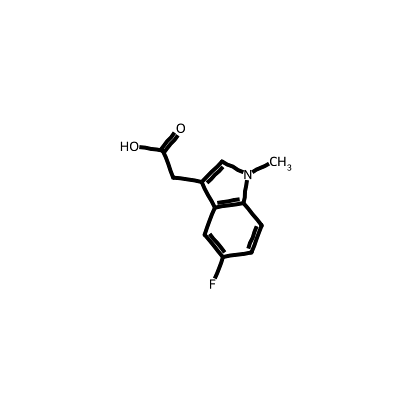 Cn1cc(CC(=O)O)c2cc(F)ccc21